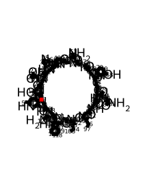 C=C1C=CC(C)NC=C1C[C@@H]1NC(=O)[C@@H]2C[C@@H](O)CN2C(=O)[C@H](CCC(=O)O)NC(=O)[C@H](Cc2cnc[nH]2)NC(=O)[C@@H]2CCCN2C(=O)[C@H](CC(N)=O)NC(=O)[C@H](C)N(C)C(=O)[C@H](Cc2ccc(O)cc2)NC(=O)CSC[C@@H](C(=O)NCC(N)=O)NC(=O)[C@H](C)NC(=O)[C@H](CCCC)N(C)C[C@H](CCCC)N(C)C(=O)[C@H](Cc2c[nH]c3ccccc23)NC(=O)[C@H](CCN)NC1=O